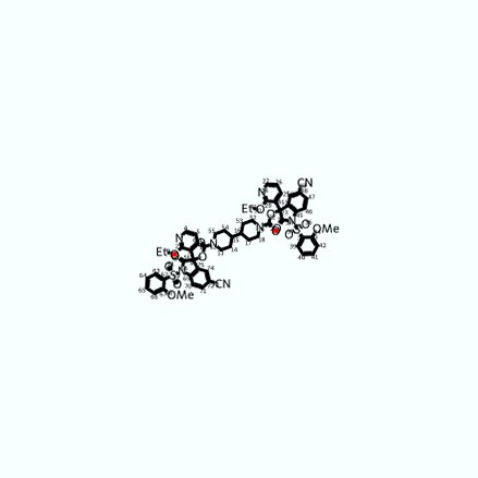 CCOc1ncccc1C1(OC(=O)N2CCC(C3CCN(C(=O)OC4(c5cccnc5OCC)C(=O)N(S(=O)(=O)c5ccccc5OC)c5ccc(C#N)cc54)CC3)CC2)C(=O)N(S(=O)(=O)c2ccccc2OC)c2ccc(C#N)cc21